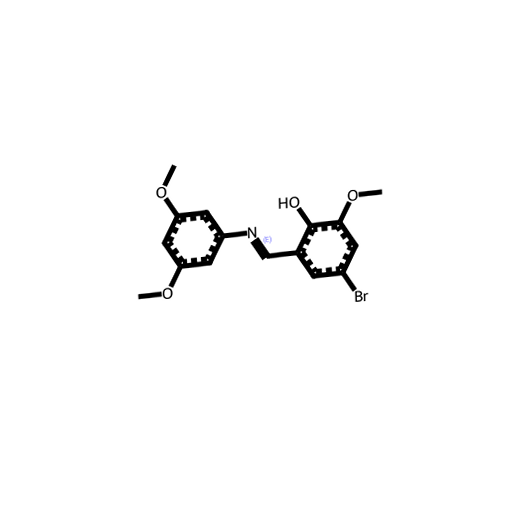 COc1cc(/N=C/c2cc(Br)cc(OC)c2O)cc(OC)c1